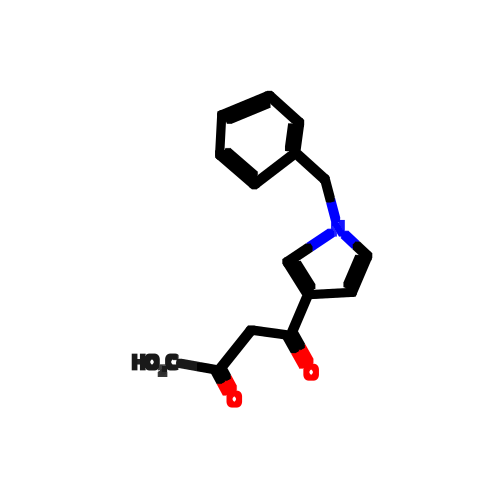 O=C(O)C(=O)CC(=O)c1ccn(Cc2ccccc2)c1